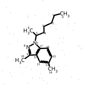 CCCCCC(C)n1nc(C)c2cc(C)ccc21